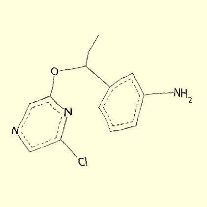 CC(Oc1cncc(Cl)n1)c1cccc(N)c1